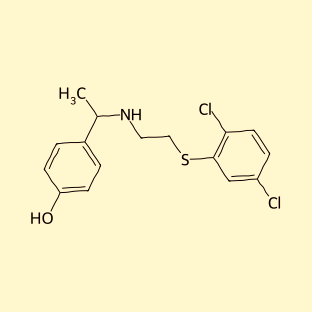 CC(NCCSc1cc(Cl)ccc1Cl)c1ccc(O)cc1